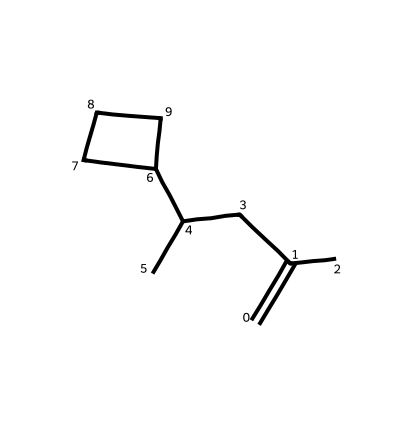 C=C(C)CC(C)C1CCC1